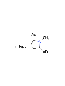 CCCCCCCC1CC(CCC)N(C)C1C(C)=O